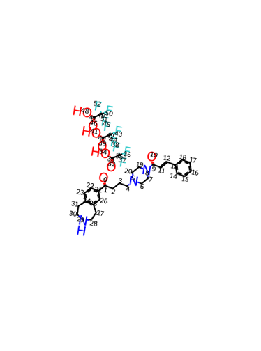 O=C(CCCN1CCN(C(=O)/C=C/c2ccccc2)CC1)c1ccc2c(c1)CCNCC2.O=C(O)C(F)(F)F.O=C(O)C(F)(F)F.O=C(O)C(F)(F)F